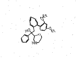 CCOc1ccc(-c2ccccc2CC(O)(c2ccccc2)C2CNCCO2)c(OCC)c1